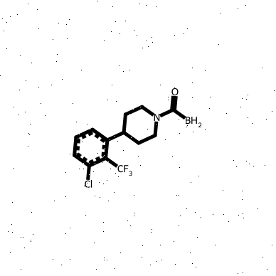 BC(=O)N1CCC(c2cccc(Cl)c2C(F)(F)F)CC1